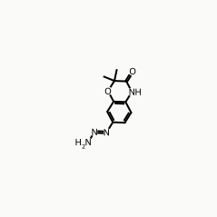 CC1(C)Oc2cc(N=NN)ccc2NC1=O